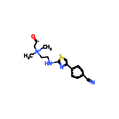 C[N+](C)(C[C]=O)CCNc1nc(-c2ccc(C#N)cc2)cs1